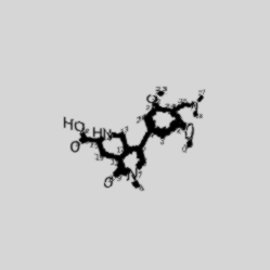 COc1cc(-c2cn(C)c(=O)c3c2CNC(C(=O)O)C3)cc(OC)c1CN(C)C